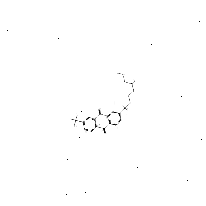 CC(CCO)CCCC(C)(C)c1ccc2c(c1)C(=O)c1cc(C(C)(C)C)ccc1C2=O